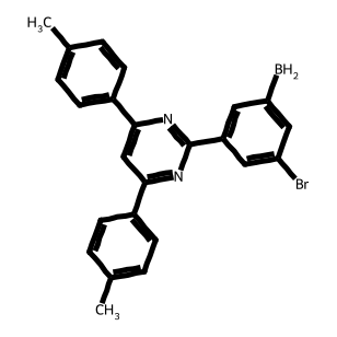 Bc1cc(Br)cc(-c2nc(-c3ccc(C)cc3)cc(-c3ccc(C)cc3)n2)c1